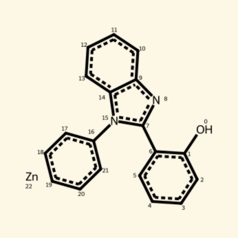 Oc1ccccc1-c1nc2ccccc2n1-c1ccccc1.[Zn]